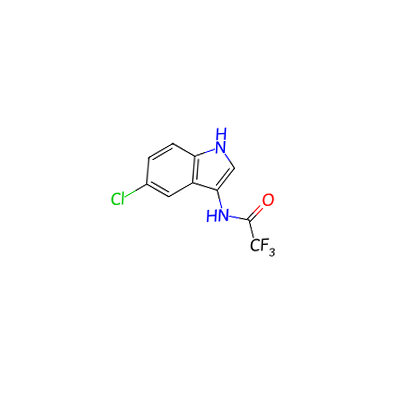 O=C(Nc1c[nH]c2ccc(Cl)cc12)C(F)(F)F